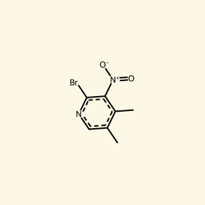 Cc1cnc(Br)c([N+](=O)[O-])c1C